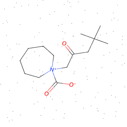 CC(C)(C)CC(=O)C[N+]1(C(=O)[O-])CCCCCC1